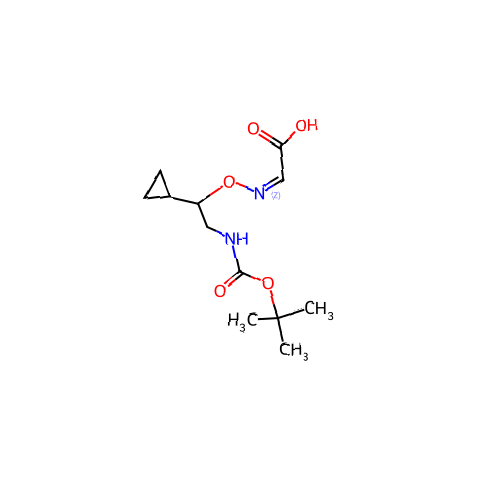 CC(C)(C)OC(=O)NCC(O/N=C\C(=O)O)C1CC1